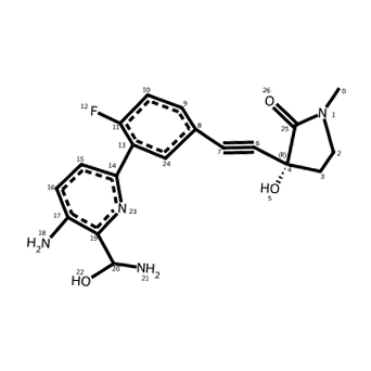 CN1CC[C@@](O)(C#Cc2ccc(F)c(-c3ccc(N)c(C(N)O)n3)c2)C1=O